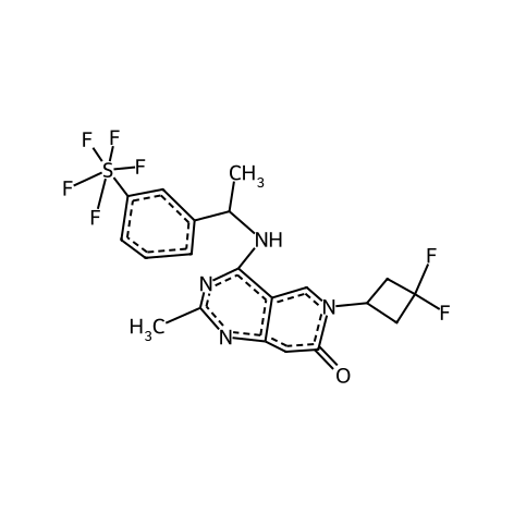 Cc1nc(NC(C)c2cccc(S(F)(F)(F)(F)F)c2)c2cn(C3CC(F)(F)C3)c(=O)cc2n1